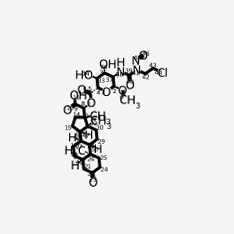 CO[C@H]1O[C@H](C(=O)O[C@H](C(=O)O)[C@@]2(C)CC[C@H]3[C@@H]4CC[C@@H]5CC(=O)CC[C@]5(C)[C@H]4CC[C@@]32C)[C@@H](O)[C@H](O)[C@H]1NC(=O)N(CCCl)N=O